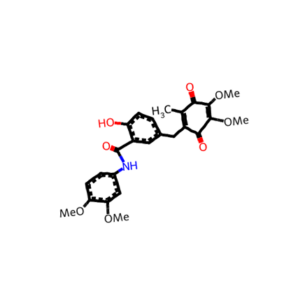 COC1=C(OC)C(=O)C(Cc2ccc(O)c(C(=O)Nc3ccc(OC)c(OC)c3)c2)=C(C)C1=O